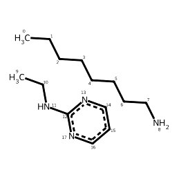 CCCCCCCCN.CCNc1ncccn1